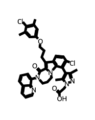 Cc1cc(OCCCc2c3n(c4c(-c5c(C)nn(CC(=O)O)c5C)c(Cl)ccc24)CCCN(c2cccc4cccnc24)C3=O)cc(C)c1Cl